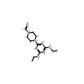 CCOc1nc(OCC)nc(N2CCN(C=O)CC2)n1